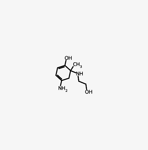 CC1(NCCO)CC(N)=CC=C1O